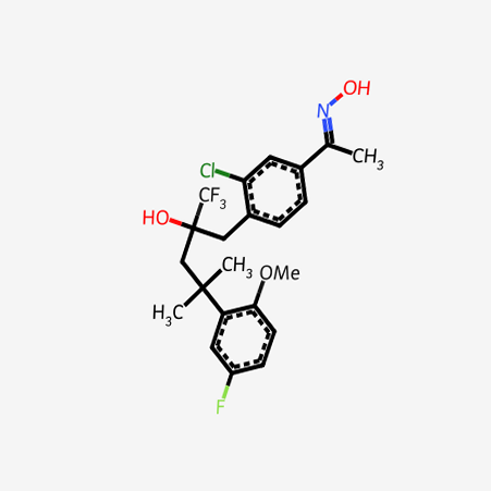 COc1ccc(F)cc1C(C)(C)CC(O)(Cc1ccc(/C(C)=N/O)cc1Cl)C(F)(F)F